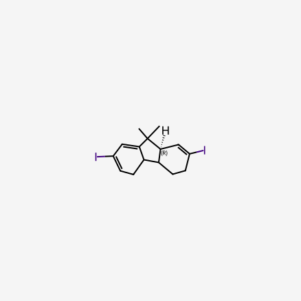 CC1(C)C2=CC(I)=CCC2C2CCC(I)=C[C@@H]21